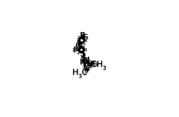 CCN1C=C2N=C(C=Cc3ccc(OC4CCC(F)(F)CC4)c(F)c3)N=C2N(CC)C1